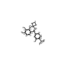 Cc1cc(C2=NC3(CCC3)Oc3c2ccc(C)c3C)cnc1C(F)F